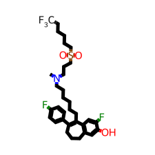 CN(CCCCCCC1=C(c2ccc(F)cc2)CCCc2cc(O)c(F)cc21)CCCS(=O)(=O)CCCCCC(F)(F)F